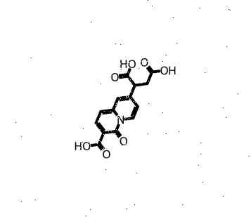 O=C(O)CC(C(=O)O)c1ccn2c(=O)c(C(=O)O)ccc2c1